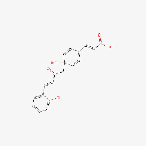 O=C(O)/C=C/C1C=CC(O)(CC(=O)/C=C/c2ccccc2O)C=C1